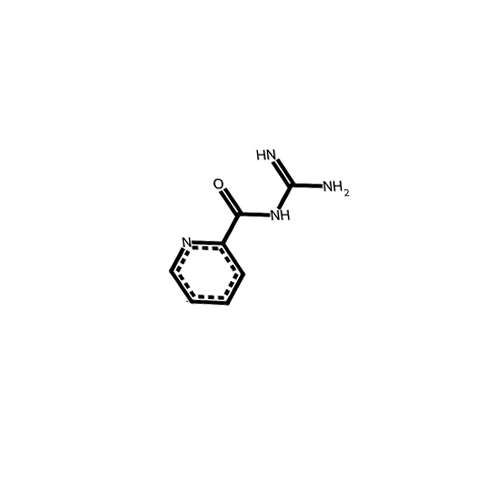 N=C(N)NC(=O)c1cc[c]cn1